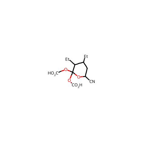 CCC1CC(C#N)OC(OC(=O)O)(OC(=O)O)C1CC